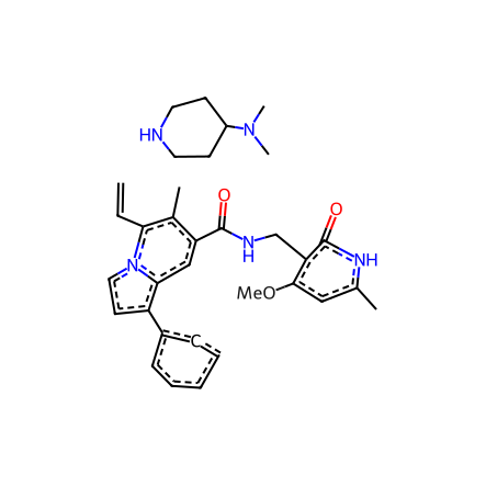 C=Cc1c(C)c(C(=O)NCc2c(OC)cc(C)[nH]c2=O)cc2c(-c3ccccc3)ccn12.CN(C)C1CCNCC1